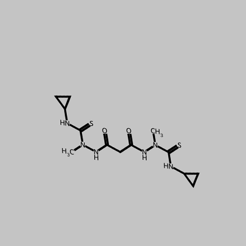 CN(NC(=O)CC(=O)NN(C)C(=S)NC1CC1)C(=S)NC1CC1